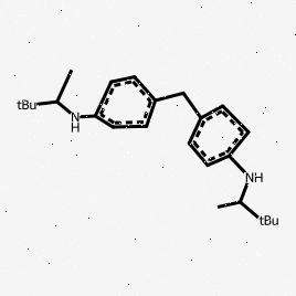 CC(Nc1ccc(Cc2ccc(NC(C)C(C)(C)C)cc2)cc1)C(C)(C)C